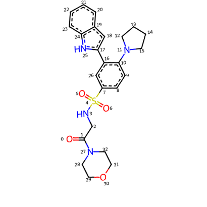 O=C(CNS(=O)(=O)c1ccc(N2CCCC2)c(-c2cc3ccccc3[nH]2)c1)N1CCOCC1